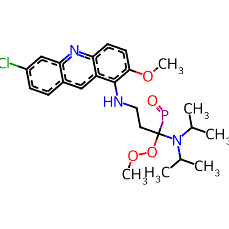 COOC(CCNc1c(OC)ccc2nc3cc(Cl)ccc3cc12)(P=O)N(C(C)C)C(C)C